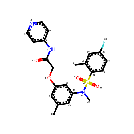 Cc1cc(OCC(=O)Nc2ccncc2)cc(N(C)S(=O)(=O)c2ccc(F)cc2C)c1